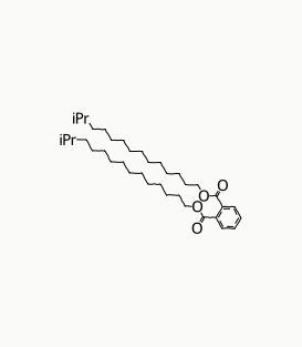 CC(C)CCCCCCCCCCCCOC(=O)c1ccccc1C(=O)OCCCCCCCCCCCCC(C)C